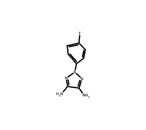 Nc1nn(-c2ccc(F)cc2)nc1N